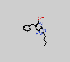 CCCCc1nc2nc(CO)c(Cc3ccccc3)cc2[nH]1